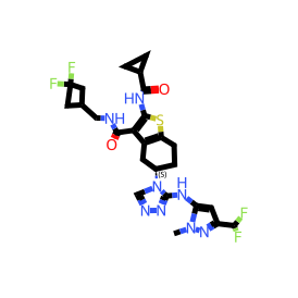 Cn1nc(C(F)F)cc1Nc1nncn1[C@H]1CCc2sc(NC(=O)C3CC3)c(C(=O)NCC3CC(F)(F)C3)c2C1